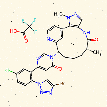 C[C@@H]1CCC[C@H](n2cnc(-c3cc(Cl)ccc3-n3cc(Br)nn3)cc2=O)c2cc(ccn2)-c2c(cnn2C)NC1=O.O=C(O)C(F)(F)F